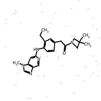 CCc1cc(CC(=O)N2CC(C)(C)C2)ccc1Nc1cc2c(cn1)ncn2C